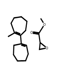 CC1=C(C2=CCCCCC2)CCCCC1.COC(=O)C1CO1